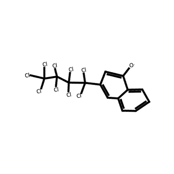 [O]c1cc(C(Cl)(Cl)C(Cl)(Cl)C(Cl)(Cl)C(Cl)(Cl)Cl)cc2ccccc12